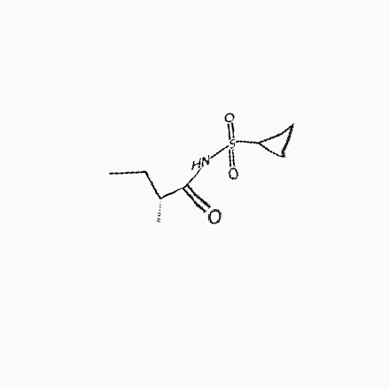 CC[C@@H](C)C(=O)NS(=O)(=O)C1CC1